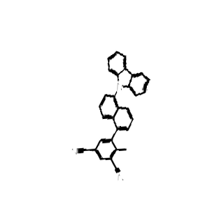 Cc1c(C#N)cc(C#N)cc1-c1cccc2c(-n3c4ccccc4c4ccccc43)cccc12